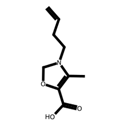 C=CCCN1COC(C(=O)O)=C1C